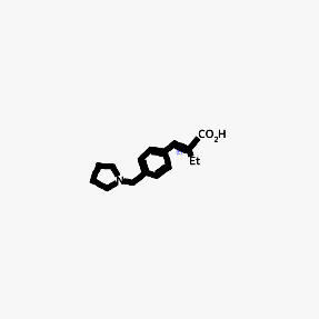 CC/C(=C\c1ccc(CN2CCCC2)cc1)C(=O)O